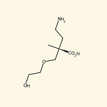 C[C@](CCN)(COCCO)C(=O)O